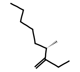 C=C(CC)[C@@H](C)CCCCC